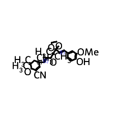 COc1cc(/C=C/C2(C(C)(C)C(=O)/C=C/[C@@]3(C)C=C(C#N)C(=O)C(C)(C)C3)OCCO2)ccc1O